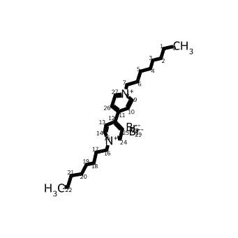 CCCCCCCC[n+]1ccc(-c2cc[n+](CCCCCCCC)cc2)cc1.[Br-].[Br-]